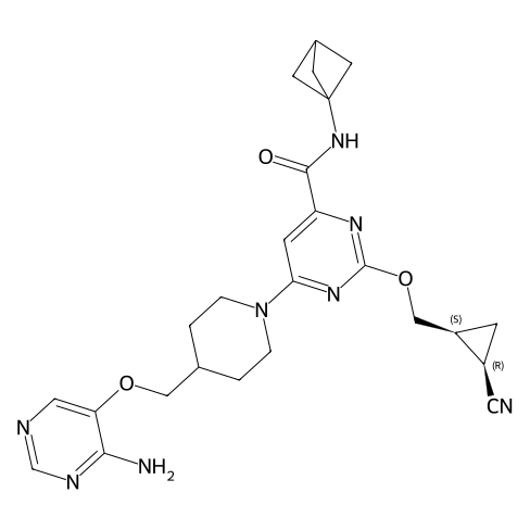 N#C[C@@H]1C[C@@H]1COc1nc(C(=O)NC23CC(C2)C3)cc(N2CCC(COc3cncnc3N)CC2)n1